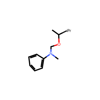 CC(C)C(C)OCN(C)c1ccccc1